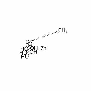 CCCCCCCCCCCCCCCCCC(=O)OC(=O)C(O)C(O)C(O)C(O)CO.[Zn]